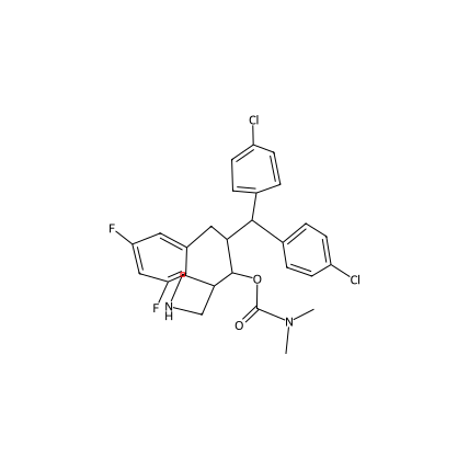 CN(C)C(=O)OC(C1CNC1)C(Cc1cc(F)cc(F)c1)C(c1ccc(Cl)cc1)c1ccc(Cl)cc1